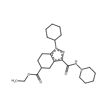 CCOC(=O)C1CCc2c(c(C(=O)NN3CCCCC3)nn2C2CCCCC2)C1